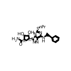 CCCSc1nc(NC2CC2c2ccccc2)c2nnn([C@H]3C[C@@H](C(N)=O)[C@H](O)[C@@H]3O)c2n1